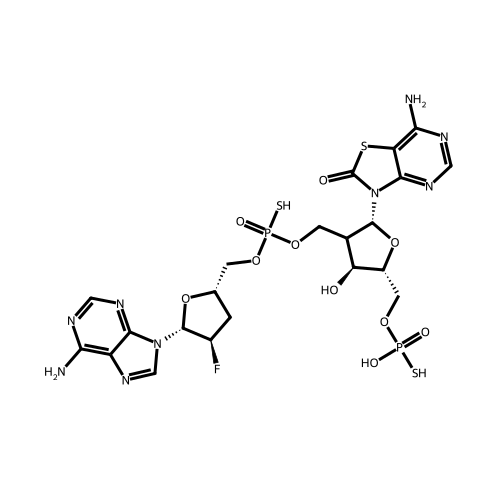 Nc1ncnc2c1ncn2[C@@H]1O[C@H](COP(=O)(S)OCC2[C@H](n3c(=O)sc4c(N)ncnc43)O[C@H](COP(=O)(O)S)[C@H]2O)C[C@H]1F